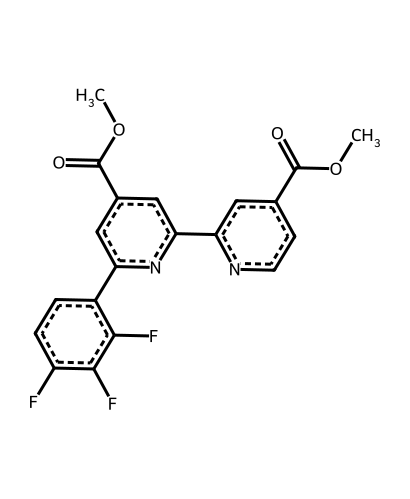 COC(=O)c1ccnc(-c2cc(C(=O)OC)cc(-c3ccc(F)c(F)c3F)n2)c1